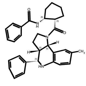 Cc1ccc2c(c1)[C@@H]1[C@@H](CCN1C(=O)[C@H]1CCCC[C@H]1NC(=O)c1ccccc1)[C@@H](c1ccccc1)N2